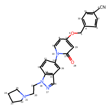 N#Cc1ccc(COc2ccn(-c3ccc4c(cnn4CCN4CCCC4)c3)c(=O)c2)cc1